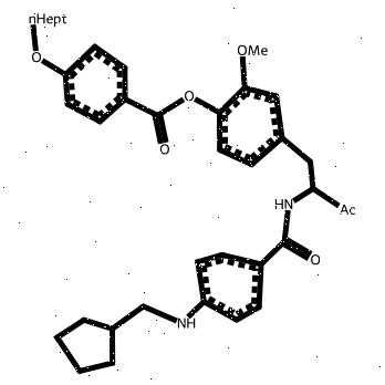 CCCCCCCOc1ccc(C(=O)Oc2ccc(CC(NC(=O)c3ccc(NCC4CCCC4)cc3)C(C)=O)cc2OC)cc1